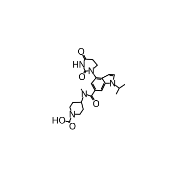 CC(C)n1ccc2c(N3CCC(=O)NC3=O)cc(C(=O)N(C)C3CCN(C(=O)O)CC3)cc21